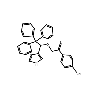 N#Cc1ccc(C(=O)COC(c2c[nH]cn2)C(c2ccccc2)(c2ccccc2)c2ccccc2)cc1